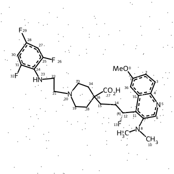 COc1ccc2ncc(N(C)C)c([C@H](F)CCC3(C(=O)O)CCN(CCNc4c(F)cc(F)cc4F)CC3)c2c1